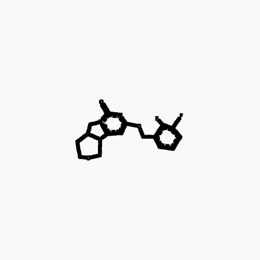 O=c1nc(OCc2cccc(F)c2F)cc2n1CC1CCOCN21